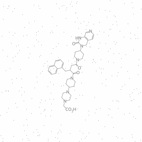 O=C(O)CN1CCN(C2CCN(C(=O)C(CC(=O)N3CCC(N4Cc5ccncc5NC4=O)CC3)Cc3cccc4ccccc34)CC2)CC1